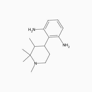 CC1C(c2c(N)cccc2N)CCN(C)C1(C)C